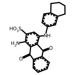 Nc1c(S(=O)(=O)O)cc(Nc2ccc3c(c2)CCCC3)c2c1C(=O)c1ccccc1C2=O